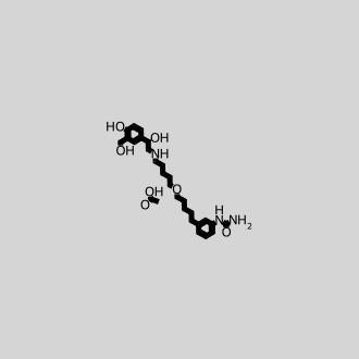 CC(=O)O.NC(=O)Nc1cccc(CCCCCOCCCCCNC[C@H](O)c2ccc(O)c(CO)c2)c1